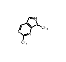 Cn1ncc2cnc(C(F)(F)F)nc21